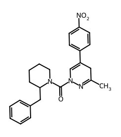 CC1=NN(C(=O)N2CCCCC2Cc2ccccc2)C=C(c2ccc([N+](=O)[O-])cc2)C1